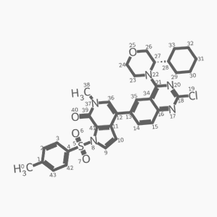 Cc1ccc(S(=O)(=O)n2ccc3c(-c4ccc5nc(Cl)nc(N6CCOC[C@@H]6C6CCCCC6)c5c4)cn(C)c(=O)c32)cc1